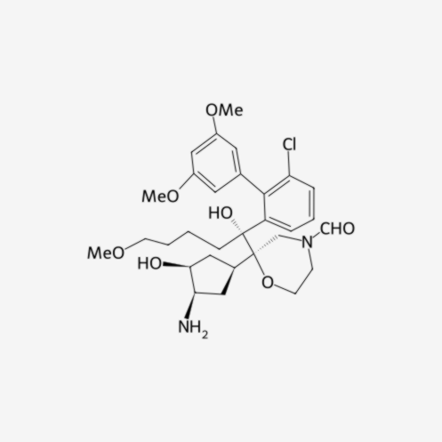 COCCCC[C@@](O)(c1cccc(Cl)c1-c1cc(OC)cc(OC)c1)[C@@]1([C@H]2C[C@@H](N)[C@@H](O)C2)CN(C=O)CCO1